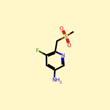 CS(=O)(=O)Cc1ncc(N)cc1F